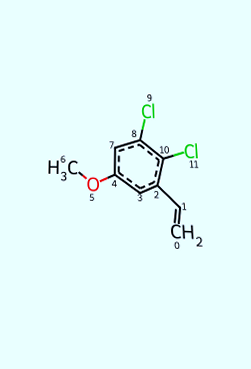 C=Cc1cc(OC)cc(Cl)c1Cl